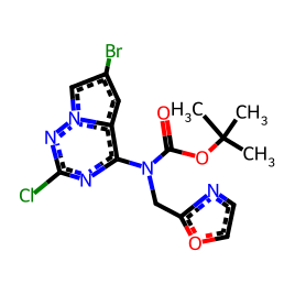 CC(C)(C)OC(=O)N(Cc1ncco1)c1nc(Cl)nn2cc(Br)cc12